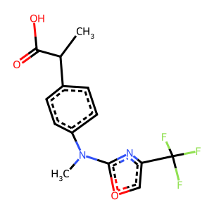 CC(C(=O)O)c1ccc(N(C)c2nc(C(F)(F)F)co2)cc1